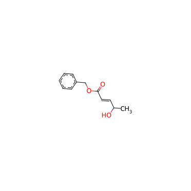 CC(O)C=CC(=O)OCc1ccccc1